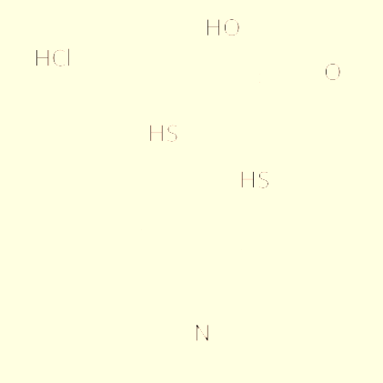 Cl.O=C(O)C([SH]1C=CC=C1)[SH]1C=CC=C1.c1ccncc1